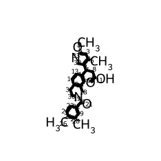 COc1cc(C)c(C(CC(=O)O)c2ccc3c(c2)CN(C(=O)c2ccc(C)c(C)c2)CC3)cn1